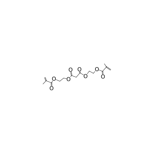 C=C(C)C(=O)OCCOC(=O)CC(=O)OCCOC(=O)C(=C)C